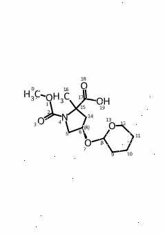 COC(=O)N1C[C@H](OC2CCCCO2)CC1(C)C(=O)O